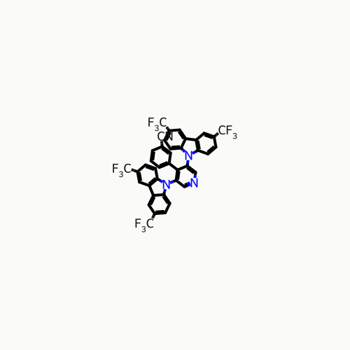 N#Cc1cccc(-c2c(-n3c4ccc(C(F)(F)F)cc4c4cc(C(F)(F)F)ccc43)cncc2-n2c3ccc(C(F)(F)F)cc3c3cc(C(F)(F)F)ccc32)c1